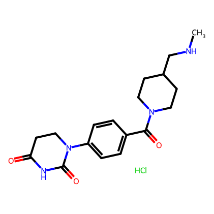 CNCC1CCN(C(=O)c2ccc(N3CCC(=O)NC3=O)cc2)CC1.Cl